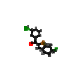 O=C(c1cccc(Br)c1)c1cc2ccc(F)cc2s1